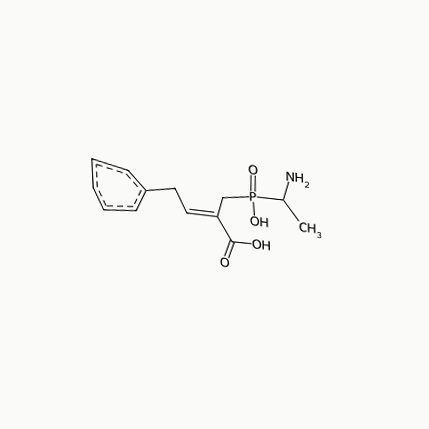 CC(N)P(=O)(O)CC(=CCc1ccccc1)C(=O)O